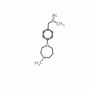 CC(=O)N(C)Cc1ccc(N2CCCN(C)CC2)cc1